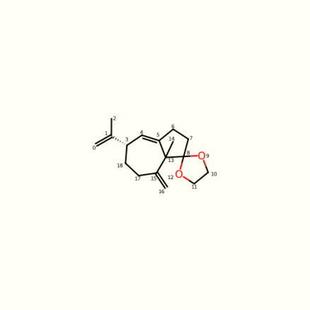 C=C(C)[C@@H]1C=C2CCC3(OCCO3)C2(C)C(=C)CC1